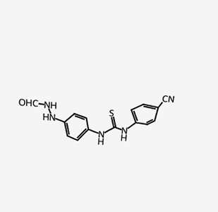 N#Cc1ccc(NC(=S)Nc2ccc(NNC=O)cc2)cc1